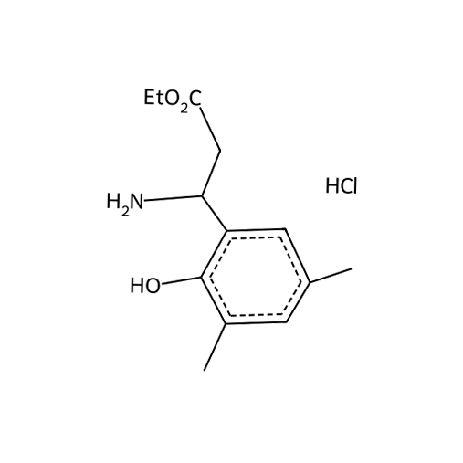 CCOC(=O)CC(N)c1cc(C)cc(C)c1O.Cl